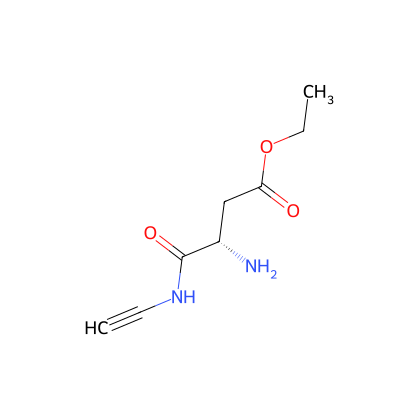 C#CNC(=O)[C@@H](N)CC(=O)OCC